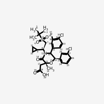 CC(C)(C)S(=O)(=O)C[C@H](C1CC1)N1C(=O)[C@@](C)(CC(=O)O)O[C@H](c2cccc(Cl)c2)C1c1ccc(Cl)c(F)c1